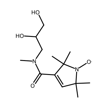 CN(CC(O)CO)C(=O)C1=CC(C)(C)N([O])C1(C)C